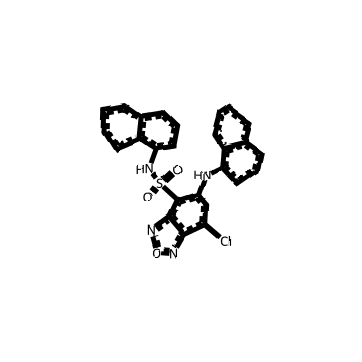 O=S(=O)(Nc1cccc2ccccc12)c1c(Nc2cccc3ccccc23)cc(Cl)c2nonc12